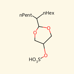 CCCCCCC(CCCCC)C1OCC(OS(=O)(=O)O)CO1